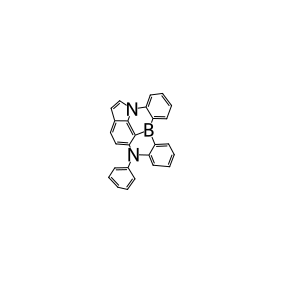 c1ccc(N2c3ccccc3B3c4ccccc4-n4ccc5ccc2c3c54)cc1